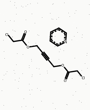 O=C(CCl)OCC#CCOC(=O)CCl.c1ccncc1